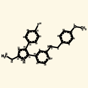 COc1ccc(CNc2cc(-c3[nH]c(SC)nc3-c3ccc(F)cc3)ccn2)cc1